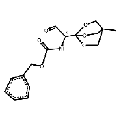 CC12COC([C@H](C=O)NC(=O)OCc3ccccc3)(OC1)OC2